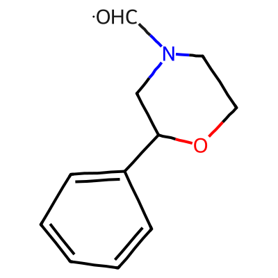 O=[C]N1CCOC(c2ccccc2)C1